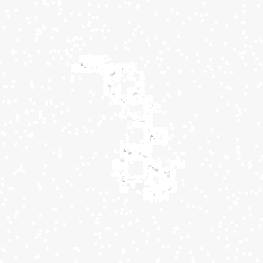 CC(=O)Oc1ccc2c(c1)CC(Nc1ncnc3scc(C)c13)C2